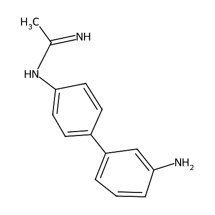 CC(=N)Nc1ccc(-c2cccc(N)c2)cc1